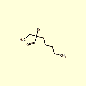 CCCCCC(Br)(C=O)CC